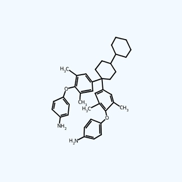 Cc1cc(C2(c3cc(C)c(Oc4ccc(N)cc4)c(C)c3)CCC(C3CCCCC3)CC2)cc(C)c1Oc1ccc(N)cc1